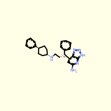 Nc1cc([C@H](CCN[C@H]2CC[C@H](c3ccccc3)CC2)c2ccccc2)c2nn[nH]c2n1